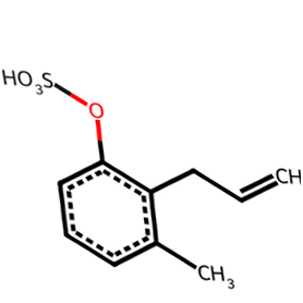 C=CCc1c(C)cccc1OS(=O)(=O)O